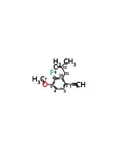 C#Cc1ccc(OC)c(F)c1CC(C)C